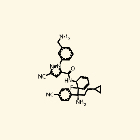 N#Cc1ccc(C(N)(CCC2CC2)C2(F)C=CC=CC2NC(=O)c2cc(C#N)nn2-c2cccc(CN)c2)cc1